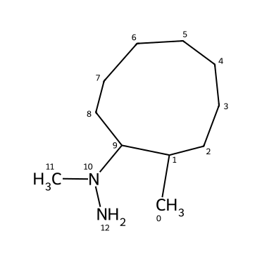 CC1CCCCCCCC1N(C)N